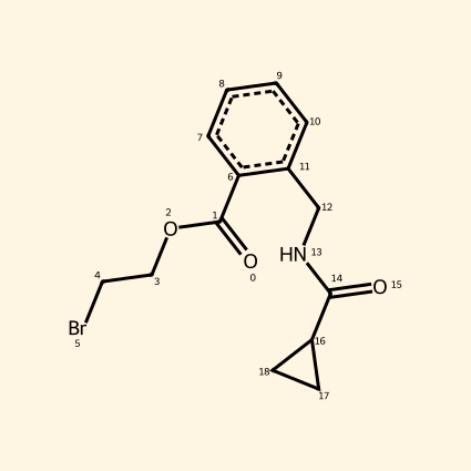 O=C(OCCBr)c1ccccc1CNC(=O)C1CC1